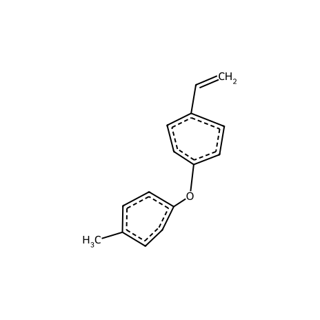 C=Cc1ccc(Oc2ccc(C)cc2)cc1